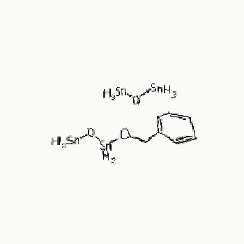 [SnH3][O][SnH2][O]Cc1ccccc1.[SnH3][O][SnH3]